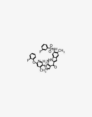 Cc1cc2cc(C(=O)c3cnn(-c4cnc(Oc5ccccc5F)cc4C)c3N)[nH]c2cc1NS(=O)(=O)c1cccc(F)c1